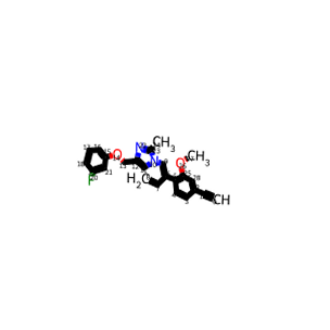 C#Cc1ccc(/C(C=C)=C/n2cc(COc3cccc(F)c3)nc2C)c(OC)c1